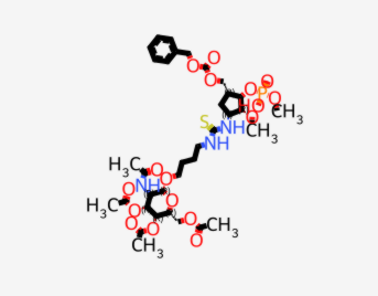 CO[C@H]1C(OP(=O)(O)OC)[C@@H](COC(=O)OCc2ccccc2)C[C@H]1NC(=S)NCCCCO[C@@H]1O[C@H](COC(C)=O)[C@H](OC(C)=O)[C@H](OC(C)=O)[C@H]1NC(C)=O